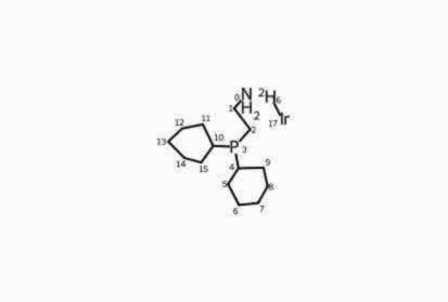 NCCP(C1CCCCC1)C1CCCCC1.[2H][Ir]